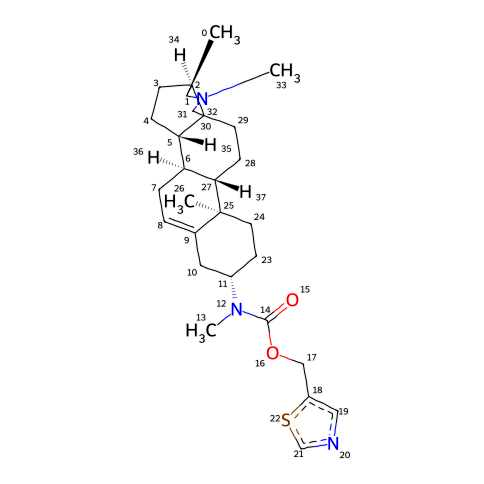 C[C@H]1[C@H]2CC[C@H]3[C@@H]4CC=C5C[C@@H](N(C)C(=O)OCc6cncs6)CC[C@]5(C)[C@H]4CCC23CN1C